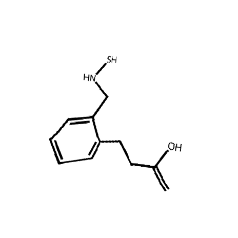 C=C(O)CCc1ccccc1CNS